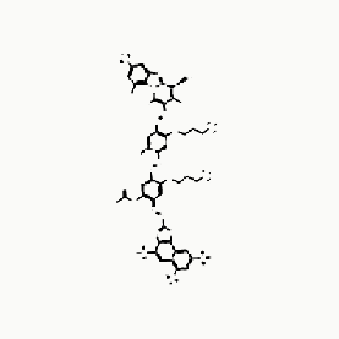 CC(=O)Nc1cc(N=Nc2cc(OCCCS(=O)(=O)O)c(N=Nc3c(C)c(C#N)c4nc5cc(S(=O)(=O)O)cc(C)c5n4c3O)cc2C)c(SCCCS(=O)(=O)O)cc1N=Nc1nc2c(S(=O)(=O)O)cc3c(S(=O)(=O)O)cc(S(=O)(=O)O)cc3c2s1